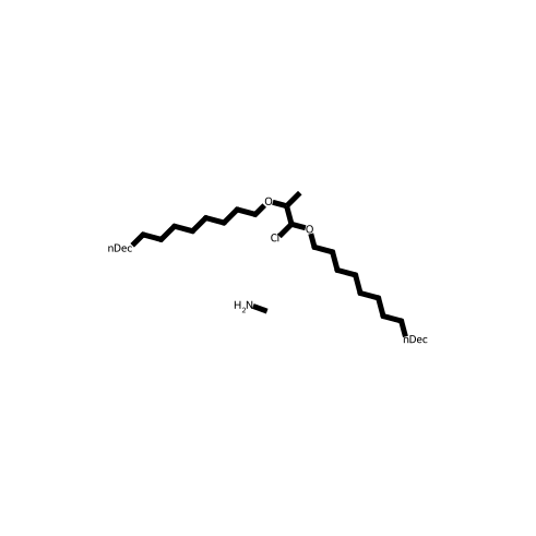 CCCCCCCCCCCCCCCCCCOC(C)C(Cl)OCCCCCCCCCCCCCCCCCC.CN